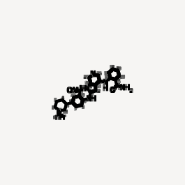 CCCN1CCCC(c2ccc(Nc3cc4c(Nc5ccccc5C(N)=O)cncc4[nH]3)c(OC)c2)C1